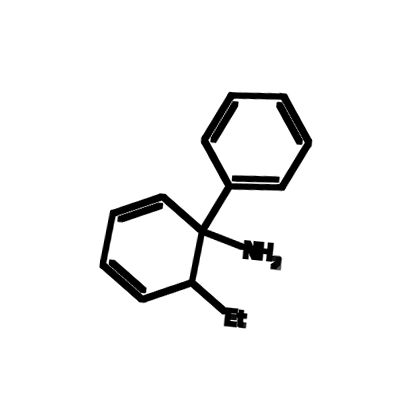 CCC1C=CC=CC1(N)c1ccccc1